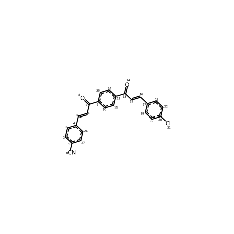 N#Cc1ccc(/C=C/C(=O)c2ccc(C(=O)/C=C/c3ccc(Cl)cc3)cc2)cc1